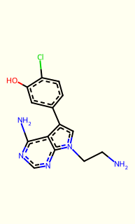 NCCn1cc(-c2ccc(Cl)c(O)c2)c2c(N)ncnc21